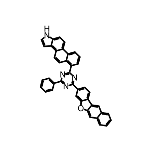 c1ccc(-c2nc(-c3ccc4c(c3)oc3cc5ccccc5cc34)nc(-c3cccc4c3ccc3c5cc[nH]c5ccc43)n2)cc1